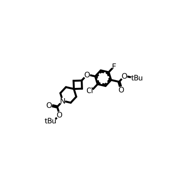 CC(C)(C)OC(=O)c1cc(Cl)c(OC2CC3(CCN(C(=O)OC(C)(C)C)CC3)C2)cc1F